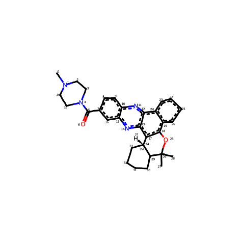 CN1CCN(C(=O)c2ccc3nc4c(nc3c2)c2c(c3ccccc34)OC(C)(C)C3CCCC[C@H]23)CC1